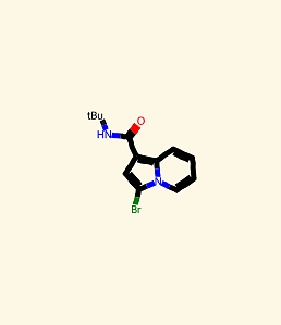 CC(C)(C)NC(=O)c1cc(Br)n2ccccc12